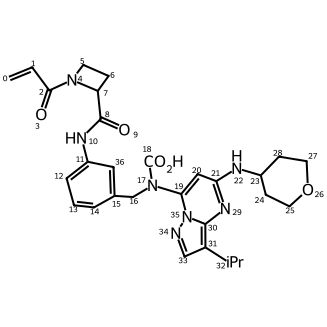 C=CC(=O)N1CCC1C(=O)Nc1cccc(CN(C(=O)O)c2cc(NC3CCOCC3)nc3c(C(C)C)cnn23)c1